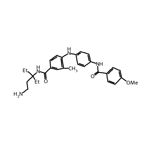 CCC(CC)(CCN)NC(=O)c1ccc(Nc2ccc(NC(=O)c3ccc(OC)cc3)cc2)c(C)c1